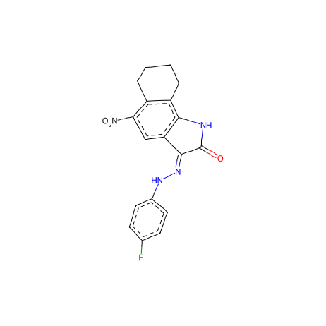 O=C1Nc2c(cc([N+](=O)[O-])c3c2CCCC3)C1=NNc1ccc(F)cc1